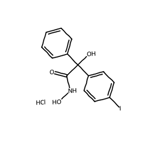 Cl.O=C(NO)C(O)(c1ccccc1)c1ccc(I)cc1